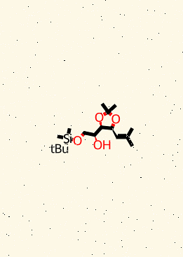 CC(C)=C[C@@H]1OC(C)(C)O[C@@H]1[C@H](O)CO[Si](C)(C)C(C)(C)C